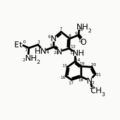 CCC(N)CNc1ncc(C(N)=O)c(Nc2cccc3c2ccn3C)n1